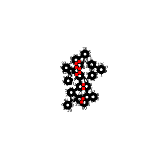 c1ccc(-c2ccc(N(c3cccc(-c4ccc(-c5cccc(-c6cccc7c6c6ccccc6n7-c6ccccc6)c5)c(N(c5ccccc5)c5ccc(-c6cc7ccccc7c7ccccc67)cc5)c4)c3)c3ccccc3-c3cccc(-c4cccc5c4c4ccccc4n5-c4ccccc4)c3)cc2)cc1